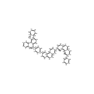 Nc1ccccc1-c1c(Cc2ccc(-c3ccc4ccc5cc(-c6ccc7ccc8ccc(-c9ccccc9)nc8c7n6)ccc5c4c3)cc2)ccc2c1oc1ccccc12